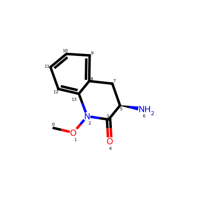 CON1C(=O)[C@H](N)Cc2ccccc21